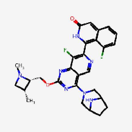 C[C@@H]1CN(C)[C@@H]1COc1nc(N2CC3CCC(C2)N3)c2cnc(-c3[nH]c(=O)cc4cccc(F)c34)c(F)c2n1